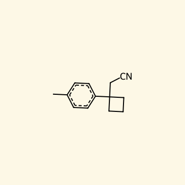 Cc1ccc(C2(CC#N)CCC2)cc1